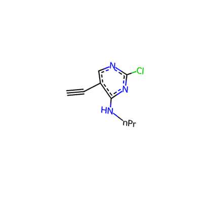 C#Cc1cnc(Cl)nc1NCCC